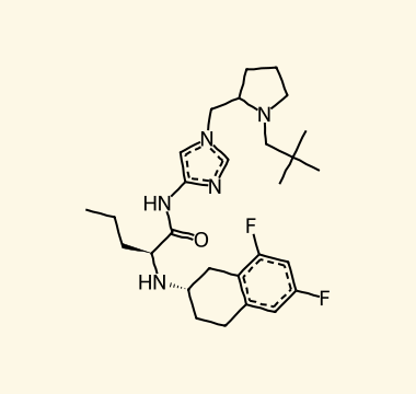 CCC[C@H](N[C@H]1CCc2cc(F)cc(F)c2C1)C(=O)Nc1cn(CC2CCCN2CC(C)(C)C)cn1